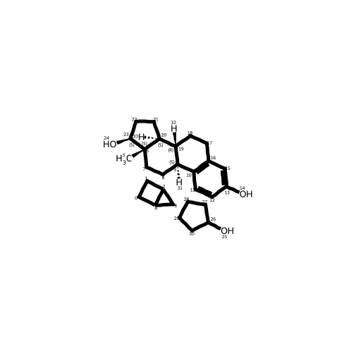 C1CC2CC12.C[C@]12CC[C@@H]3c4ccc(O)cc4CC[C@H]3[C@@H]1CC[C@@H]2O.OC1CCCC1